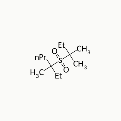 CCCC(C)(CC)S(=O)(=O)C(C)(C)CC